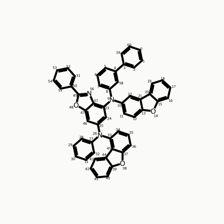 c1ccc(-c2cccc(N(c3ccc4oc5ccccc5c4c3)c3cc(N(c4ccccc4)c4cccc5oc6ccccc6c45)cc4oc(-c5ccccc5)nc34)c2)cc1